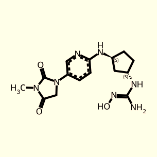 CN1C(=O)CN(c2ccc(N[C@H]3CC[C@H](NC(N)=NO)C3)nc2)C1=O